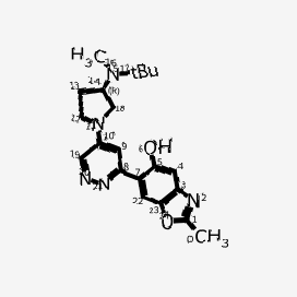 Cc1nc2cc(O)c(-c3cc(N4CC[C@@H](N(C)C(C)(C)C)C4)cnn3)cc2o1